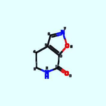 O=C1NCCc2cnoc21